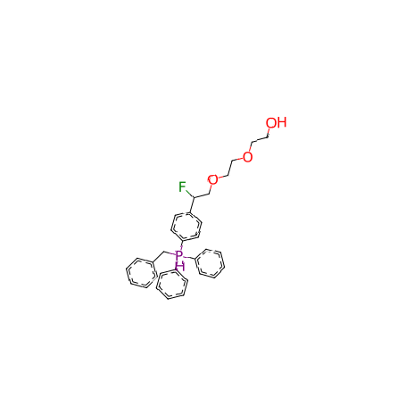 OCCOCCOCC(F)c1ccc([PH](Cc2ccccc2)(c2ccccc2)c2ccccc2)cc1